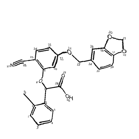 Cc1ccccc1C(Oc1cc(OCc2ccc3c(c2)OCO3)ccc1C#N)C(=O)O